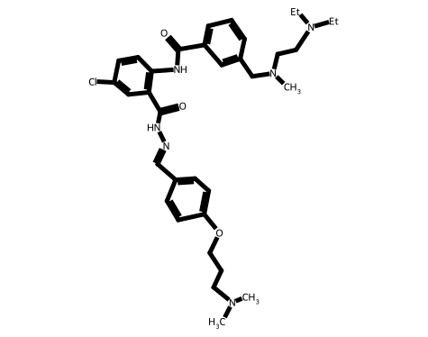 CCN(CC)CCN(C)Cc1cccc(C(=O)Nc2ccc(Cl)cc2C(=O)N/N=C/c2ccc(OCCCN(C)C)cc2)c1